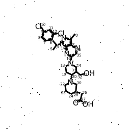 Cc1nn(C(C)c2ccc(Cl)cc2Cl)c2nc(N3CCC(N4CCCC(CC(=O)O)C4)C(CO)C3)cnc12